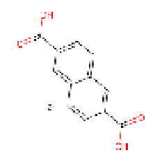 O=C(O)c1ccc2cc(C(=O)O)ccc2c1.[Zr]